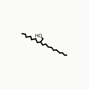 CCCCCCCCCCC(CO)CCCCCCC